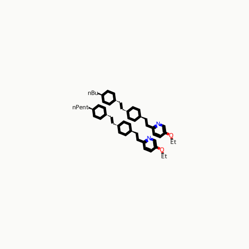 CCCCC[C@H]1CC[C@H](CC[C@H]2CC[C@H](CCc3ccc(OCC)cn3)CC2)CC1.CCCC[C@H]1CC[C@H](CC[C@H]2CC[C@H](CCc3ccc(OCC)cn3)CC2)CC1